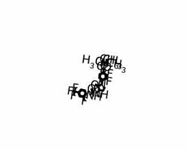 CC1(C)OB(c2ccc(N3CCC(NC(=O)Nc4ccc(C(F)(F)F)cc4F)C3=O)c(F)c2F)OC1(C)C